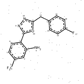 Nc1cc(C(F)(F)F)cnc1-c1nnc(Cc2ccc(F)cc2)o1